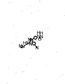 CNC(=O)Nc1ccc(-c2cnc3c(NCCCn4ccnc4)nc4cc(C#N)ccc4n23)cc1